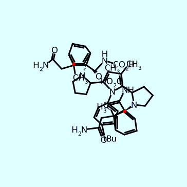 Cc1c(C)c(C2CCCN2[C@@]2(C(=O)NC(=O)O)c3ccc(cc3)C2(C)CC(N)=O)n(-c2ccc(C(C)(C)C)cc2)c1C1CCCN1[C@@]1(C(=O)NC(=O)O)c2ccc(cc2)C1(C)CC(N)=O